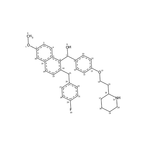 COc1ccc2c(C(O)c3ccc(OCCC4CCCCN4)cc3)c(Cc3ccc(F)cc3)ccc2c1